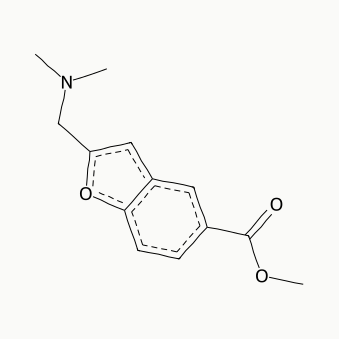 COC(=O)c1ccc2oc(CN(C)C)cc2c1